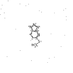 [CH2]Sc1ccc2nnnn2n1